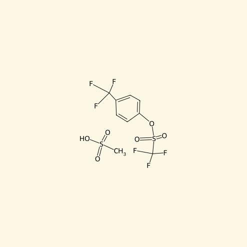 CS(=O)(=O)O.O=S(=O)(Oc1ccc(C(F)(F)F)cc1)C(F)(F)F